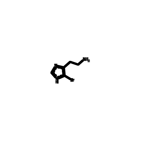 NCCc1nc[nH]c1Br